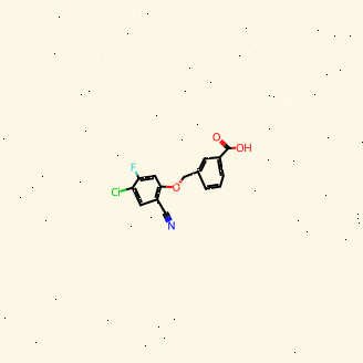 N#Cc1cc(Cl)c(F)cc1OCc1cccc(C(=O)O)c1